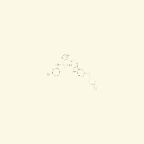 Cc1ccc(Br)cc1NC(=O)c1nc[nH]c1C(=O)Nc1nc2ccc(OC3CCN(Cl)CC3)cc2[nH]1